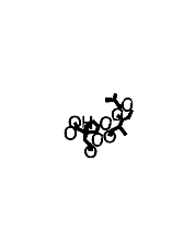 C=C(C)C(=O)OC(CC)C(C)C(=O)OC1C2CC3C1OC(=O)C3C2C(=O)O